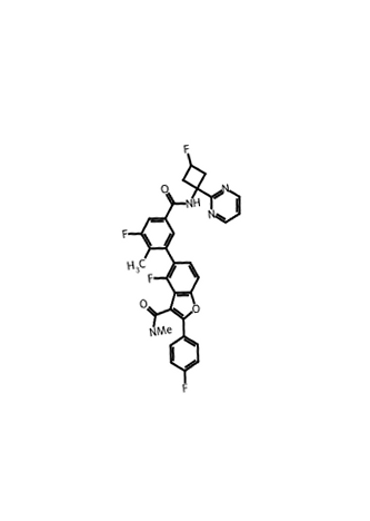 CNC(=O)c1c(-c2ccc(F)cc2)oc2ccc(-c3cc(C(=O)NC4(c5ncccn5)CC(F)C4)cc(F)c3C)c(F)c12